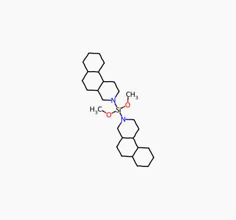 CO[Si](OC)(N1CCC2C(CCC3CCCCC32)C1)N1CCC2C(CCC3CCCCC32)C1